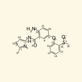 Cc1nc(NC(=O)c2cc(Oc3ccccc3[S+](C)[O-])ccc2N)cs1